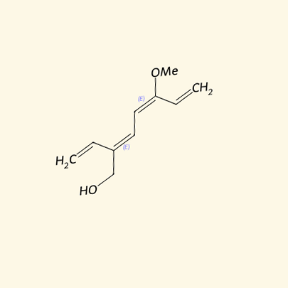 C=C/C(=C\C=C(/C=C)OC)CO